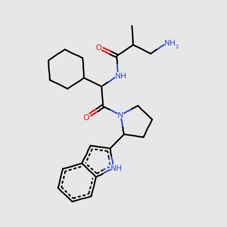 CC(CN)C(=O)NC(C(=O)N1CCCC1c1cc2ccccc2[nH]1)C1CCCCC1